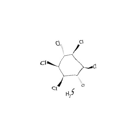 Cl[C@H]1[C@H](Cl)[C@@H](Cl)[C@@H](Cl)[C@H](Cl)[C@H]1Cl.S